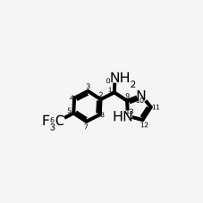 NC(c1ccc(C(F)(F)F)cc1)c1ncc[nH]1